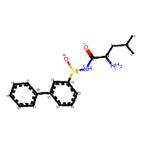 CC(C)CC(N)C(=O)N[S+]([O-])c1cccc(-c2ccccc2)c1